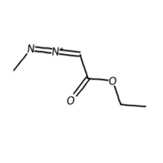 CCOC(=O)C=[N+]=NC